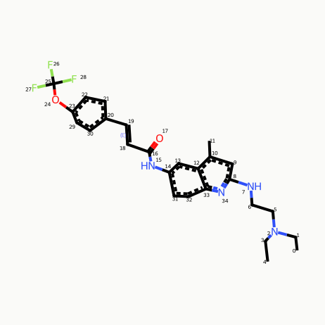 CCN(CC)CCNc1cc(C)c2cc(NC(=O)/C=C/c3ccc(OC(F)(F)F)cc3)ccc2n1